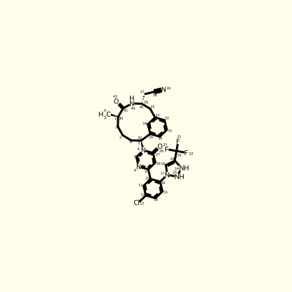 C[C@@H]1CCC[C@H](n2cnc(-c3cc(Cl)ccc3N3C=C(C(F)(F)F)NN3)cc2=O)c2cccc(c2)C[C@@H](CC#N)NC1=O